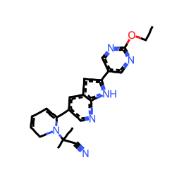 CCOc1ncc(-c2cc3cc(C4=CC=CCN4C(C)(C)C#N)cnc3[nH]2)cn1